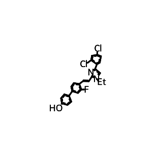 CCn1cc(-c2ccc(Cl)cc2Cl)nc1C=Cc1ccc(-c2ccc(O)cc2)cc1F